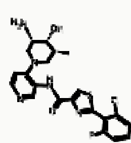 C[C@H]1CN(c2ccncc2NC(=O)c2csc(-c3c(F)cccc3Cl)n2)C[C@@H](N)[C@@H]1O